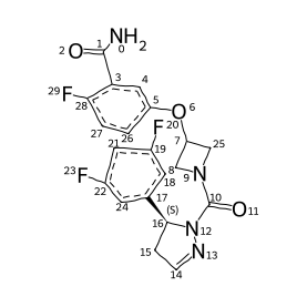 NC(=O)c1cc(OC2CN(C(=O)N3N=CC[C@H]3c3cc(F)cc(F)c3)C2)ccc1F